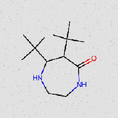 CC(C)(C)C1NCCNC(=O)C1C(C)(C)C